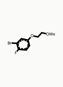 COCCOc1ccc(F)c(Br)c1